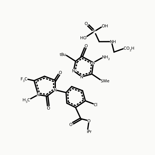 CC(C)OC(=O)c1cc(-n2c(=O)cc(C(F)(F)F)n(C)c2=O)ccc1Cl.CSc1nnc(C(C)(C)C)c(=O)n1N.O=C(O)CNCP(=O)(O)O